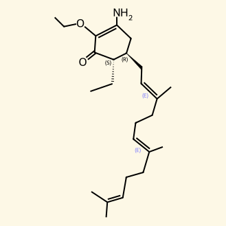 CCOC1=C(N)C[C@@H](C/C=C(\C)CC/C=C(\C)CCC=C(C)C)[C@H](CC)C1=O